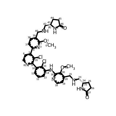 COc1nc(-c2ccnc(-c3cccc(Nc4nccc(CNC[C@@H]5CCC(=O)N5)c4OC)c3Cl)c2Cl)ccc1CNC[C@H]1CCC(=O)N1